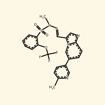 Cc1ccc(-c2ccc3ncc(/C=N/N(C)S(=O)(=O)c4ccccc4OC(F)(F)F)n3c2)cn1